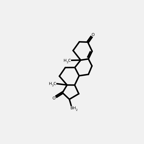 BC1CC2C3CCC4=CC(=O)CCC4(C)C3CCC2(C)C1=O